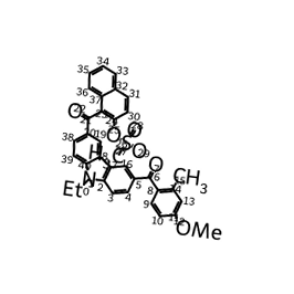 CCn1c2ccc(C(=O)c3ccc(OC)cc3C)cc2c2cc(C(=O)c3c(OS(C)(=O)=O)ccc4ccccc34)ccc21